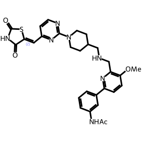 COc1ccc(-c2cccc(NC(C)=O)c2)nc1CNCC1CCN(c2nccc(/C=C3\SC(=O)NC3=O)n2)CC1